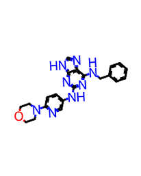 c1ccc(CNc2nc(Nc3ccc(N4CCOCC4)nc3)nc3[nH]cnc23)cc1